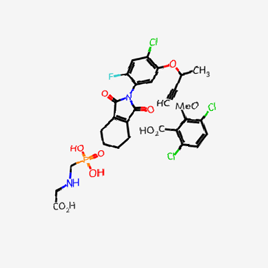 C#CC(C)Oc1cc(N2C(=O)C3=C(CCCC3)C2=O)c(F)cc1Cl.COc1c(Cl)ccc(Cl)c1C(=O)O.O=C(O)CNCP(=O)(O)O